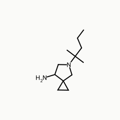 CCCC(C)(C)N1CC(N)C2(CC2)C1